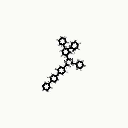 c1ccc(-c2ccc(-c3ccc(-c4nc(-c5ccccc5)nc(-c5ccc(-c6ccccc6)c6c5oc5ccccc56)n4)cc3)cc2)cc1